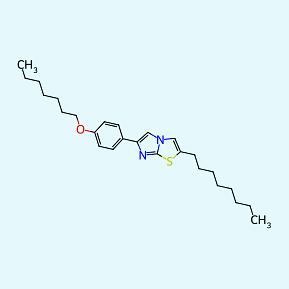 CCCCCCCCc1cn2cc(-c3ccc(OCCCCCCC)cc3)nc2s1